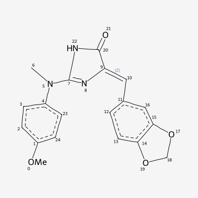 COc1ccc(N(C)C2=N/C(=C\c3ccc4c(c3)OCO4)C(=O)N2)cc1